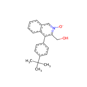 CC(C)(C)c1ccc(-c2c(CO)[n+]([O-])cc3ccccc23)cc1